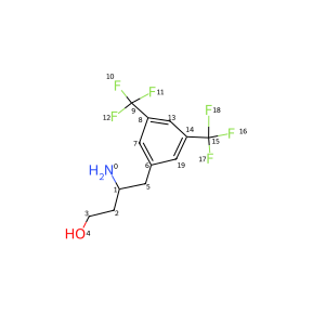 NC(CCO)Cc1cc(C(F)(F)F)cc(C(F)(F)F)c1